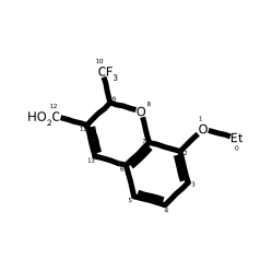 CCOc1cccc2c1OC(C(F)(F)F)C(C(=O)O)=C2